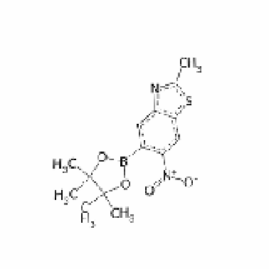 Cc1nc2cc(B3OC(C)(C)C(C)(C)O3)c([N+](=O)[O-])cc2s1